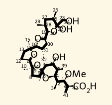 CO[C@@H]([C@@H](C)[C@H]1OC2(CC[C@@](C)([C@H]3CC[C@@](C)([C@@H]4O[C@@H]([C@H]5O[C@@](O)(CO)[C@H](C)C[C@@H]5C)C[C@@H]4C)O3)O2)C[C@H](O)[C@H]1C)[C@H](C)C(=O)O